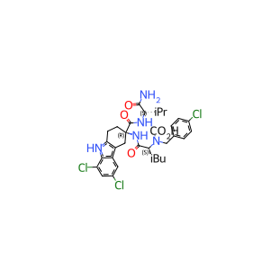 CCC(C)[C@@H](C(=O)N[C@]1(C(=O)N[C@H](C(N)=O)C(C)C)CCc2[nH]c3c(Cl)cc(Cl)cc3c2C1)N(Cc1ccc(Cl)cc1)C(=O)O